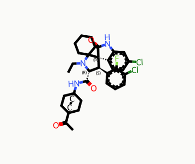 CCN1[C@@H](C(=O)NC23CCC(C(C)=O)(CC2)CC3)[C@H](c2cccc(Cl)c2F)[C@]2(C(=O)Nc3cc(Cl)ccc32)C12CCCCC2